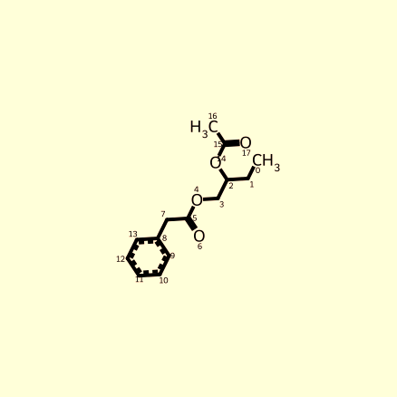 CCC(COC(=O)Cc1ccccc1)OC(C)=O